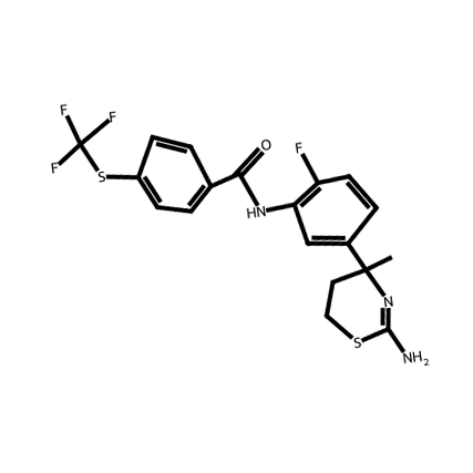 CC1(c2ccc(F)c(NC(=O)c3ccc(SC(F)(F)F)cc3)c2)CCSC(N)=N1